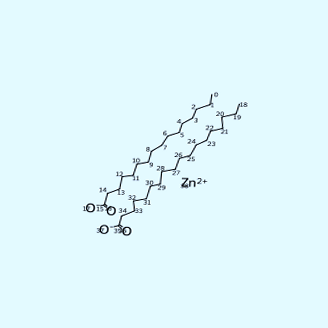 CCCCCCCCCCCCCCCC(=O)[O-].CCCCCCCCCCCCCCCCCC(=O)[O-].[Zn+2]